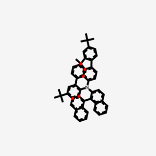 CC(C)(C)c1ccc(N(c2ccc3c(c2)C(C)(C)c2cc(C(C)(C)C)ccc2-3)c2ccc3ccccc3c2-c2cccc3ccccc23)c(-c2ccccc2)c1